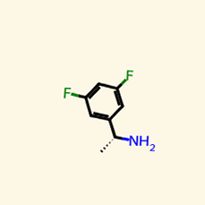 C[C@@H](N)c1cc(F)cc(F)c1